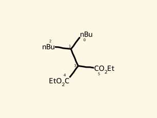 CCCCC(CCCC)C(C(=O)OCC)C(=O)OCC